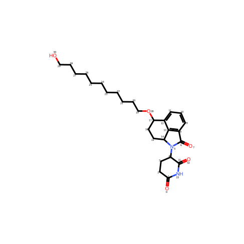 O=C1CCC(N2C(=O)c3cccc4c3C2CCC4OCCCCCCCCCCCO)C(=O)N1